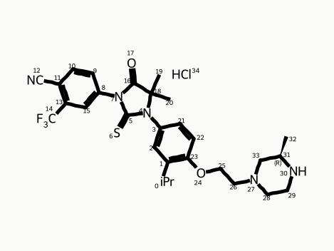 CC(C)c1cc(N2C(=S)N(c3ccc(C#N)c(C(F)(F)F)c3)C(=O)C2(C)C)ccc1OCCN1CCN[C@H](C)C1.Cl